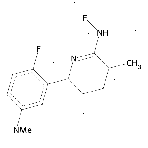 CNc1ccc(F)c(C2CCC(C)C(NF)=N2)c1